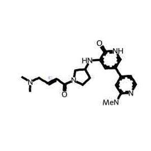 CNc1cc(-c2c[nH]c(=O)c(NC3CCN(C(=O)/C=C/CN(C)C)C3)c2)ccn1